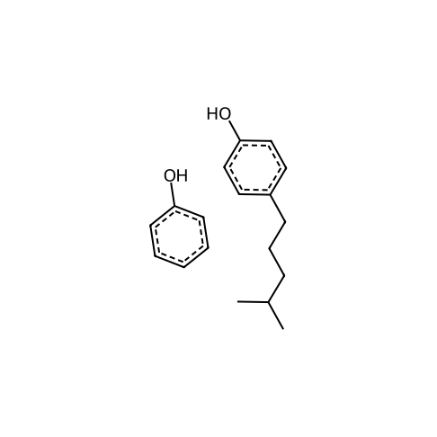 CC(C)CCCc1ccc(O)cc1.Oc1ccccc1